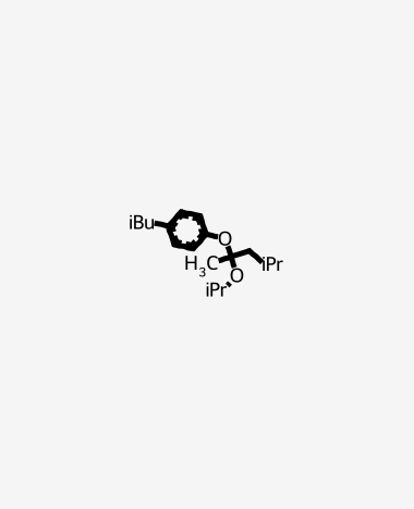 CCC(C)c1ccc(OC(C)(CC(C)C)OC(C)C)cc1